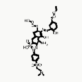 C=COOSc1ccc(O)c(N=Nc2c(SOOO)cc3cc(S(=O)(=O)O)c(N=Nc4ccc(S(=O)(=O)CCN(C)C)cc4)c(N)c3c2O)c1